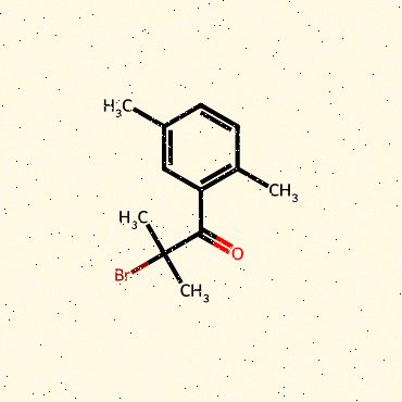 Cc1ccc(C)c(C(=O)C(C)(C)Br)c1